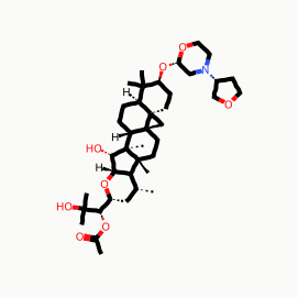 CC(=O)O[C@@H]([C@H]1C[C@@H](C)C2[C@H](O1)[C@H](O)[C@@]1(C)[C@@H]3CC[C@H]4C(C)(C)[C@@H](O[C@H]5CN([C@@H]6CCOC6)CCO5)CC[C@@]45C[C@@]35CC[C@]21C)C(C)(C)O